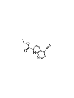 CCOC(=O)c1ccc2c(C#N)ncnc2n1